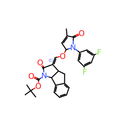 CC1=CC(O/C=C2/C(=O)N(C(=O)OC(C)(C)C)C3c4ccccc4CC23)N(c2cc(F)cc(F)c2)C1=O